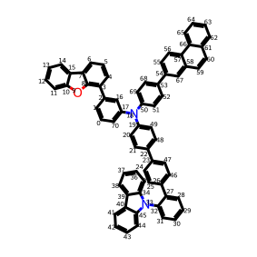 c1cc(-c2cccc3c2oc2ccccc23)cc(N(c2ccc(-c3ccc(-c4ccccc4-n4c5ccccc5c5ccccc54)cc3)cc2)c2ccc(-c3ccc4c(ccc5ccccc54)c3)cc2)c1